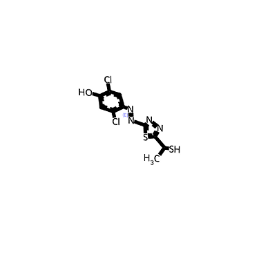 CC(S)c1nnc(/N=N/c2cc(Cl)c(O)cc2Cl)s1